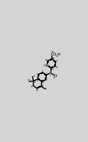 CCN(c1ccc2c(c1)C(C)=CCC2(C)C)c1ccc(C(=O)O)cn1